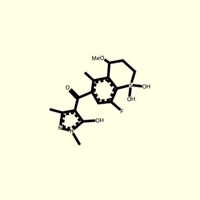 COC1CCS(O)(O)c2c(F)cc(C(=O)c3c(C)nn(C)c3O)c(C)c21